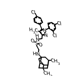 Cc1c(CNS(=O)(=O)CCNC23CC4CC5(C)CC(C)(C2)CC45C3)nn(-c2ccc(Cl)cc2Cl)c1-c1ccc(Cl)cc1